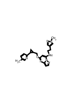 Cc1ccc(C2CC2COc2cc(NCCc3cnn(C)c3)n3nccc3n2)nc1